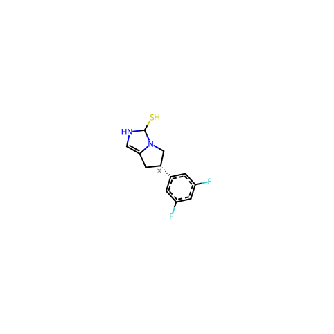 Fc1cc(F)cc([C@@H]2CC3=CNC(S)N3C2)c1